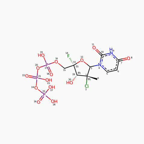 C[C@]1(Cl)C(n2ccc(=O)[nH]c2=O)O[C@](F)(COP(=O)(O)OP(=O)(O)OP(=O)(O)O)[C@H]1O